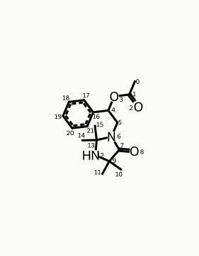 CC(=O)OC(CN1C(=O)C(C)(C)NC1(C)C)c1ccccc1